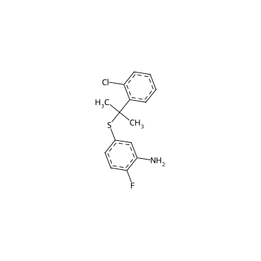 CC(C)(Sc1ccc(F)c(N)c1)c1ccccc1Cl